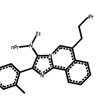 CCCN(CC)c1c(-c2ccccc2C)nc2c3ccccc3c(CCC(C)C)cn12